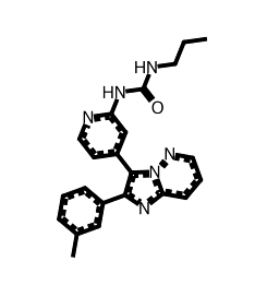 CCCNC(=O)Nc1cc(-c2c(-c3cccc(C)c3)nc3cccnn23)ccn1